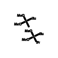 CCC(C)[Si](C)(OC)OC.CCC(C)[Si](OC)(OC)C(C)C